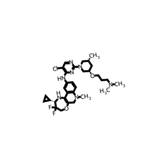 C[C@H]1C[C@@H](OCCCN(C)C)CN(c2ncc(Cl)c(Nc3ccc4c(c3)C3=C(CN4C)OCC(F)(F)[C@H](C4CC4)N3)n2)C1